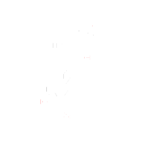 C=C1/C(=C\C=C2/CCC[C@]3(CO)[C@@H]([C@H](C)CCCC(C)(C)O)CC[C@@H]23)C[C@@H](O)C[C@@H]1O